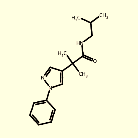 CC(C)CNC(=O)C(C)(C)c1cnn(-c2ccccc2)c1